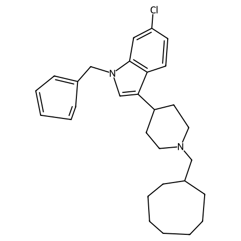 Clc1ccc2c(C3CCN(CC4CCCCCCC4)CC3)cn(Cc3ccccc3)c2c1